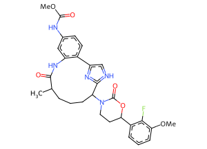 COC(=O)Nc1ccc2c(c1)NC(=O)C(C)CCCC(N1CCC(c3cccc(OC)c3F)OC1=O)c1nc-2c[nH]1